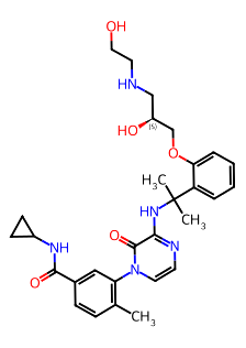 Cc1ccc(C(=O)NC2CC2)cc1-n1ccnc(NC(C)(C)c2ccccc2OC[C@@H](O)CNCCO)c1=O